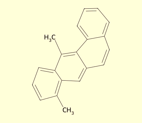 Cc1cccc2c(C)c3c(ccc4ccccc43)cc12